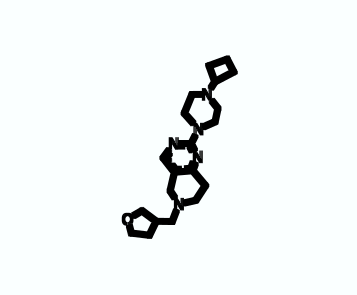 c1nc(N2CCN(C3CCC3)CC2)nc2c1CN(CC1CCOC1)CC2